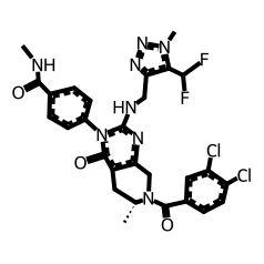 CNC(=O)c1ccc(-n2c(NCc3nnn(C)c3C(F)F)nc3c(c2=O)C[C@@H](C)N(C(=O)c2ccc(Cl)c(Cl)c2)C3)cc1